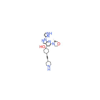 C[C@@H]1COCCN1c1cc(C2(O)CCC(C#CC3CCNCC3)CC2)c2cnn(-c3cc[nH]n3)c2n1